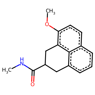 CNC(=O)C1Cc2cccc3ccc(OC)c(c23)C1